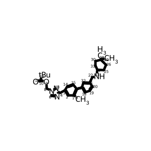 Cc1cc(-c2ncn(COC(=O)C(C)(C)C)n2)ccc1-c1cccc(CNC2CCC(C)(C)CC2)c1